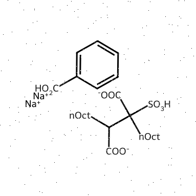 CCCCCCCCC(C(=O)[O-])C(CCCCCCCC)(C(=O)[O-])S(=O)(=O)O.O=C(O)c1ccccc1.[Na+].[Na+]